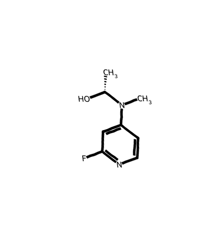 C[C@@H](O)N(C)c1ccnc(F)c1